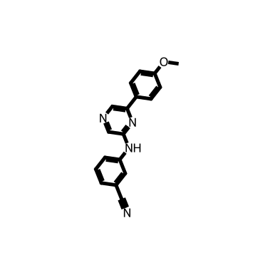 COc1ccc(-c2cncc(Nc3cccc(C#N)c3)n2)cc1